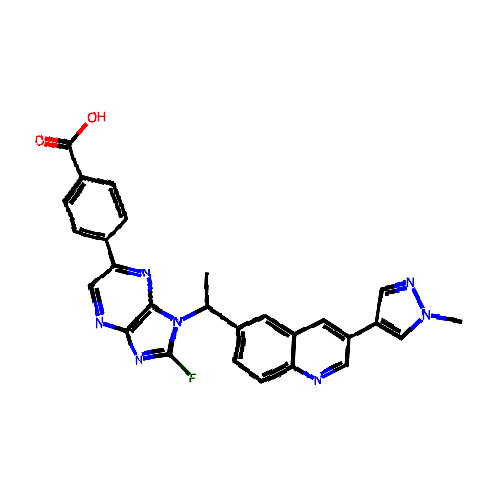 CC(c1ccc2ncc(-c3cnn(C)c3)cc2c1)n1c(F)nc2ncc(-c3ccc(C(=O)O)cc3)nc21